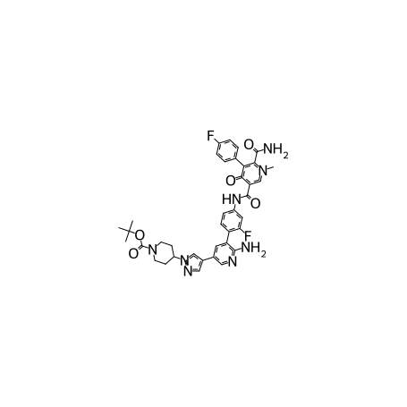 Cn1cc(C(=O)Nc2ccc(-c3cc(-c4cnn(C5CCN(C(=O)OC(C)(C)C)CC5)c4)cnc3N)c(F)c2)c(=O)c(-c2ccc(F)cc2)c1C(N)=O